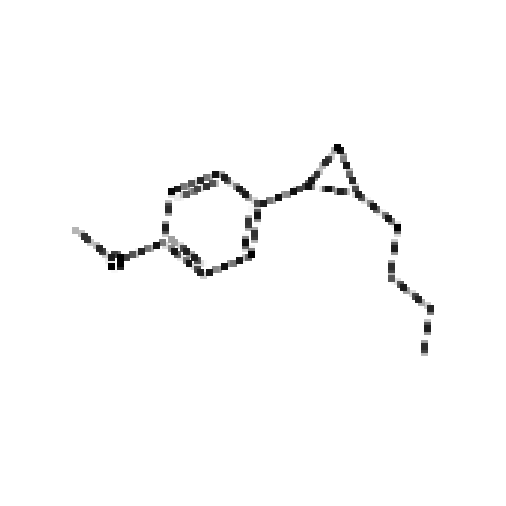 CCCCC1CC1c1ccc(OC)cc1